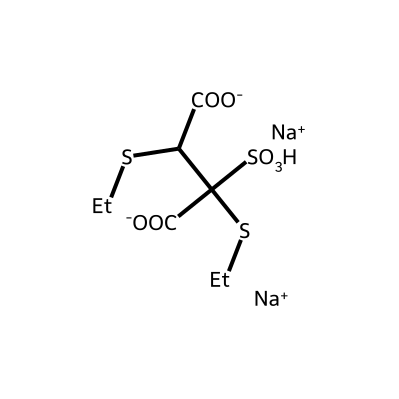 CCSC(C(=O)[O-])C(SCC)(C(=O)[O-])S(=O)(=O)O.[Na+].[Na+]